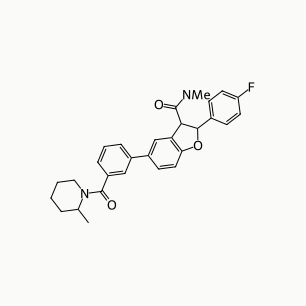 CNC(=O)C1c2cc(-c3cccc(C(=O)N4CCCCC4C)c3)ccc2OC1c1ccc(F)cc1